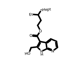 CCCCCCCC(CC)CCOC(=O)c1c(CO)[nH]c2ncccc12